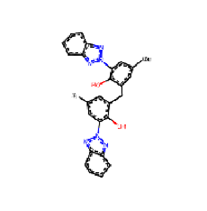 CC(C)c1cc(Cc2cc(C(C)(C)C)cc(-n3nc4ccccc4n3)c2O)c(O)c(-n2nc3ccccc3n2)c1